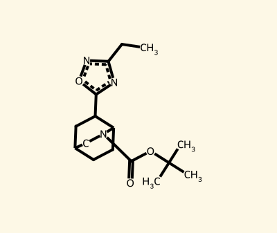 CCc1noc(C2CC3CCC2N(C(=O)OC(C)(C)C)C3)n1